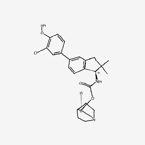 CCCOc1ccc(-c2ccc3c(c2)CC(C)(C)[C@H]3NC(=O)O[C@H]2CN3CCC2CC3)cc1Cl